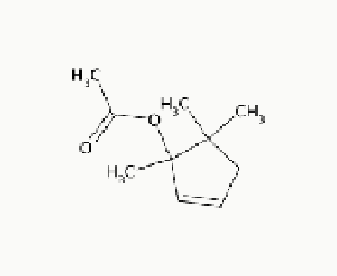 CC(=O)OC1(C)C=CCC1(C)C